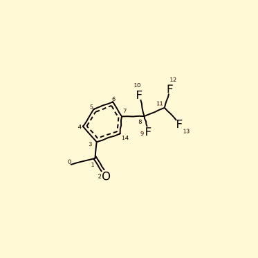 CC(=O)c1cccc(C(F)(F)C(F)F)c1